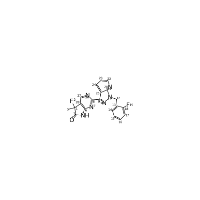 CC1(F)C(=O)Nc2nc(-c3nn(Cc4ccccc4F)c4ncccc34)ncc21